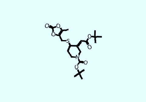 Cc1oc(=O)oc1CSC1CCN(C(=O)OC(C)(C)C)CC1=CC(=O)OC(C)(C)C